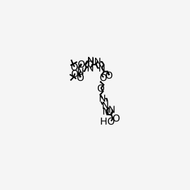 CC(C)(C)OC(=O)N(Cc1ccnc(C2CN(C(C=O)COCCOCCN3CCN(c4ncc(C(=O)O)cn4)CC3)CCN2)n1)C(=O)OC(C)(C)C